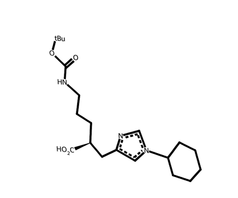 CC(C)(C)OC(=O)NCCC[C@@H](Cc1cn(C2CCCCC2)cn1)C(=O)O